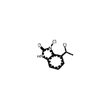 CC(Cl)c1cccc2[nH]c(=O)n(Cl)c12